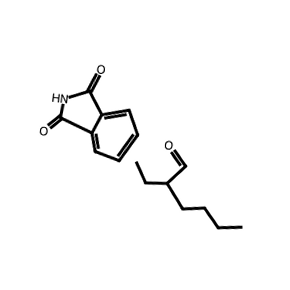 CCCCC(C=O)CC.O=C1NC(=O)c2ccccc21